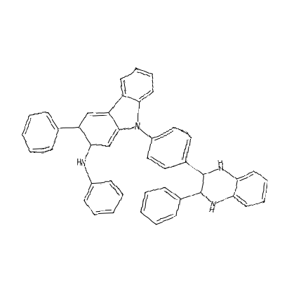 C1=c2c(n(-c3ccc(C4Nc5ccccc5NC4c4ccccc4)cc3)c3ccccc23)=CC(Nc2ccccc2)C1c1ccccc1